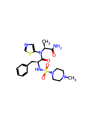 C[C@@H](C(N)=O)N(C(=O)[C@H](Cc1ccccc1)NS(=O)(=O)N1CCN(C)CC1)c1cncs1